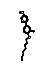 CCCCCCCCOc1ccc(-c2ccc(O)cn2)cc1F